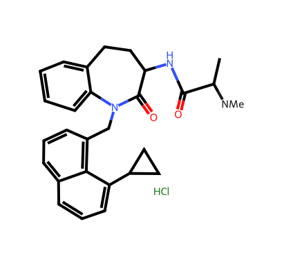 CNC(C)C(=O)NC1CCc2ccccc2N(Cc2cccc3cccc(C4CC4)c23)C1=O.Cl